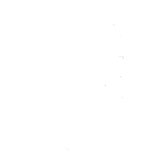 O=c1[nH]c2ccccc2cc1Nc1ccnc(Nc2ccc(OCCCN3CCOCC3)cc2)n1